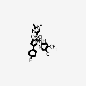 Cc1nc(S(=O)(=O)[N+]2(Nc3cc(C(F)(F)F)c(Cl)cn3)C=CC(c3ccc(F)cc3)=C2)cn1C